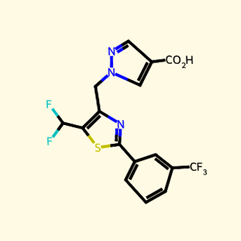 O=C(O)c1cnn(Cc2nc(-c3cccc(C(F)(F)F)c3)sc2C(F)F)c1